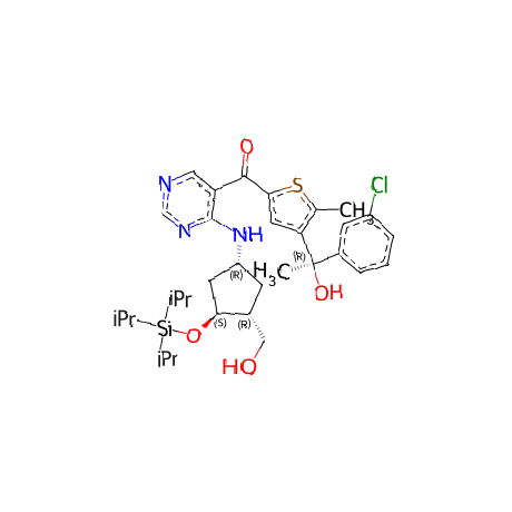 Cc1sc(C(=O)c2cncnc2N[C@@H]2C[C@H](CO)[C@@H](O[Si](C(C)C)(C(C)C)C(C)C)C2)cc1[C@](C)(O)c1cccc(Cl)c1